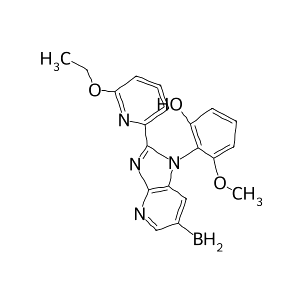 Bc1cnc2nc(C3=C=C=CC(OCC)=N3)n(-c3c(O)cccc3OC)c2c1